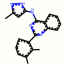 Cc1cc(Nc2nc(-c3cccc(C)c3C)nc3ccccc23)[nH]n1